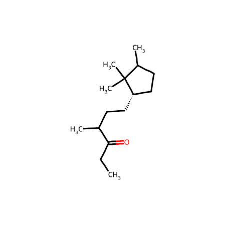 CCC(=O)C(C)CC[C@H]1CCC(C)C1(C)C